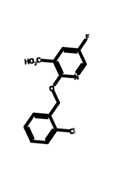 O=C(O)c1cc(F)cnc1OCc1ccccc1Cl